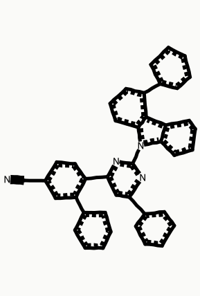 N#Cc1ccc(-c2cc(-c3ccccc3)nc(-n3c4ccccc4c4c(-c5ccccc5)cccc43)n2)c(-c2ccccc2)c1